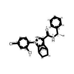 C[C@H](NC(=O)c1nn(-c2ccc(Cl)cc2Cl)c2c1C1CCC2C1)c1ccccc1